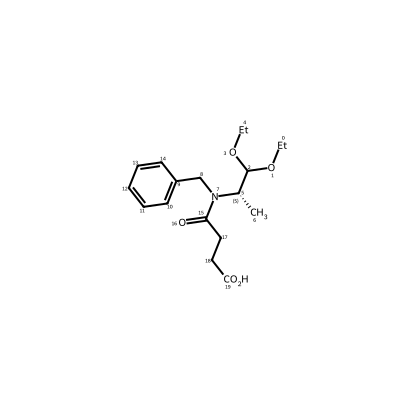 CCOC(OCC)[C@H](C)N(Cc1ccccc1)C(=O)CCC(=O)O